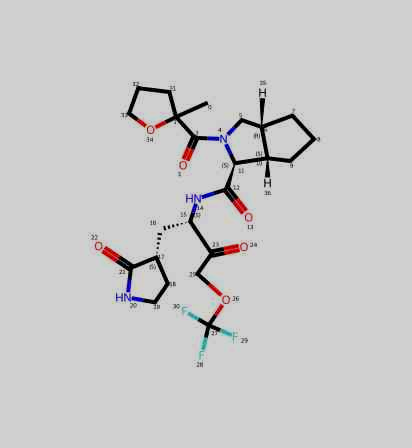 CC1(C(=O)N2C[C@@H]3CCC[C@@H]3[C@H]2C(=O)N[C@@H](C[C@@H]2CCNC2=O)C(=O)COC(F)(F)F)CCCO1